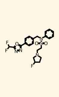 O=S(=O)(CCN1CCC(F)C1)N(Cc1ccc(-c2nnc(C(F)F)o2)cc1)c1ccccc1